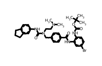 CN(C)CCN(Cc1ccc(C(=O)Nc2cc(Br)ccc2NC(=O)OC(C)(C)C)cc1)C(=O)Nc1ccc2c(c1)CCC2